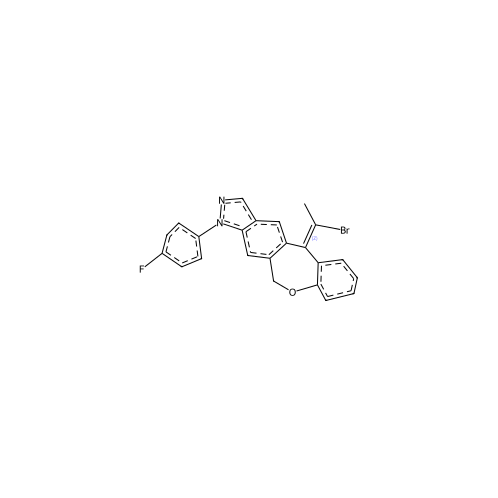 C/C(Br)=C1\c2cc3cnn(-c4ccc(F)cc4)c3cc2COc2ccccc21